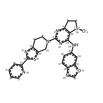 [O-][S@+]1CCc2nc(N3CCc4nc(-c5ccccn5)sc4C3)nc(Nc3ccc4ncoc4c3)c21